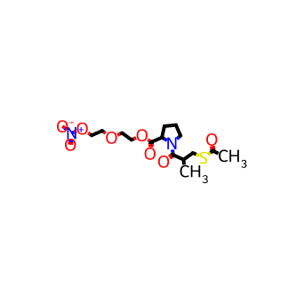 CC(=O)SCC(C)C(=O)N1CCCC1C(=O)OCCOCCO[N+](=O)[O-]